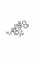 CN(C)c1ncc(C(F)(F)F)cc1C1(C(=O)NS(=O)(=O)c2cccc3ncccc23)CC1